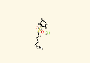 CCCCCCS(=O)(=O)c1ccccc1.F